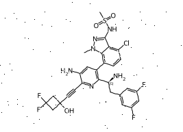 Cn1nc(NS(C)(=O)=O)c2c(Cl)ccc(-c3cc(N)c(C#CC4(O)CC(F)(F)C4)nc3[C@@H](N)Cc3cc(F)cc(F)c3)c21